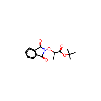 C[C@@H](ON1C(=O)c2ccccc2C1=O)C(=O)OC(C)(C)C